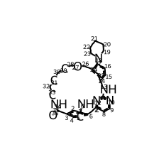 Nc1cc2ccc1-c1ccnc(n1)Nc1ccc(N3CCCCC3)c(c1)COCCCCCCNC2=O